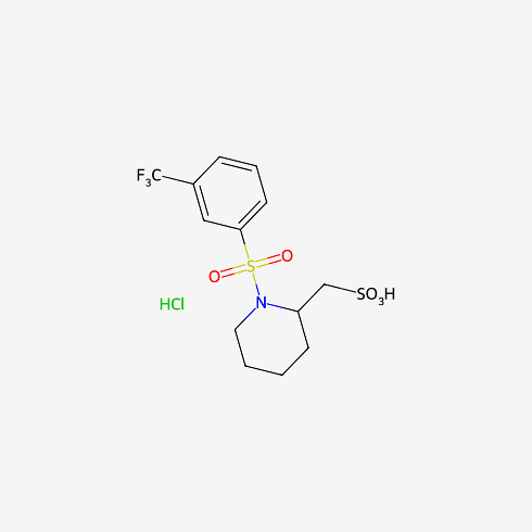 Cl.O=S(=O)(O)CC1CCCCN1S(=O)(=O)c1cccc(C(F)(F)F)c1